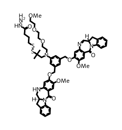 COCCOCCOCCN(CC(C)(C)SSCCCC(=O)NN)c1cc(COc2cc3c(cc2OC)C(=O)N2c4ccccc4C[C@H]2C=N3)cc(COc2cc3c(cc2OC)C(=O)N2c4ccccc4C[C@H]2CN3)c1